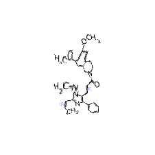 C=Nn1c(/C=C\C)nc(-c2ccccc2)c1/C=C/C(=O)N1CCc2cc(OC)c(OC)cc2C1